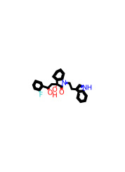 O=C(C[C@]1(O)C(=O)N(CCc2c[nH]c3ccccc23)c2ccccc21)c1ccccc1F